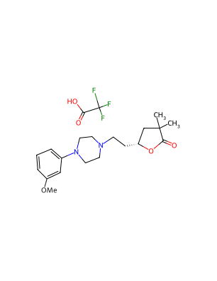 COc1cccc(N2CCN(CC[C@@H]3CC(C)(C)C(=O)O3)CC2)c1.O=C(O)C(F)(F)F